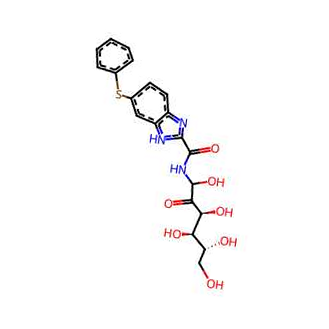 O=C(NC(O)C(=O)[C@@H](O)[C@H](O)[C@H](O)CO)c1nc2ccc(Sc3ccccc3)cc2[nH]1